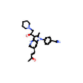 CC(=O)/C=C/c1cnc2c(C(=O)CN3CCCCC3)c(C)n(-c3ccc(C#N)cc3)c2c1